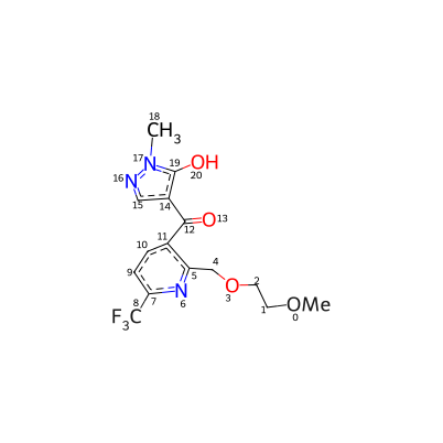 COCCOCc1nc(C(F)(F)F)ccc1C(=O)c1cnn(C)c1O